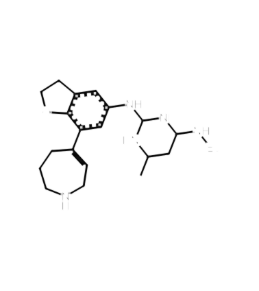 CCNC1CC(C)NC(Nc2cc3c(c(C4=CCNCCC4)c2)OCC3)N1